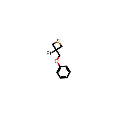 CCC1(COc2ccccc2)CSC1